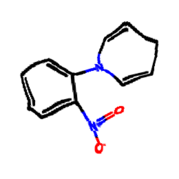 O=[N+]([O-])c1ccccc1N1C=CCC=C1